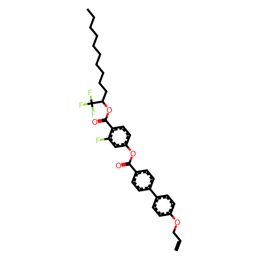 C=CCOc1ccc(-c2ccc(C(=O)Oc3ccc(C(=O)OC(CCCCCCCCCC)C(F)(F)F)c(F)c3)cc2)cc1